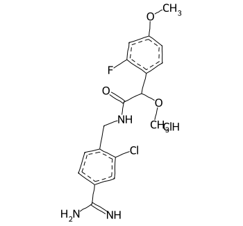 COc1ccc(C(OC)C(=O)NCc2ccc(C(=N)N)cc2Cl)c(F)c1.Cl